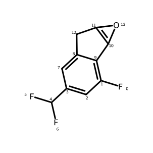 Fc1cc(C(F)F)cc2c1C1=C(C2)O1